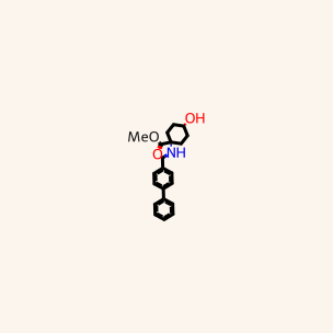 COC(=O)[C@]1(NCc2ccc(-c3ccccc3)cc2)CC[C@H](O)CC1